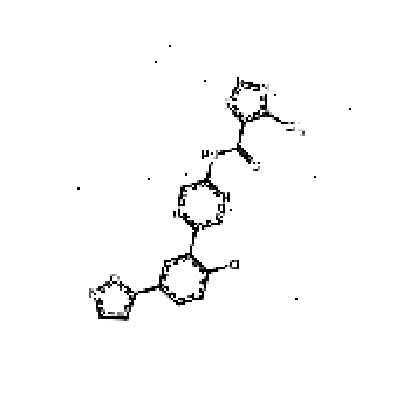 Cc1nnsc1C(=O)Nc1cnc(-c2cc(-c3ccno3)ccc2Cl)cn1